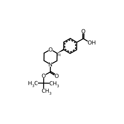 CC(C)(C)OC(=O)N1CCO[C@@H](c2ccc(C(=O)O)cc2)C1